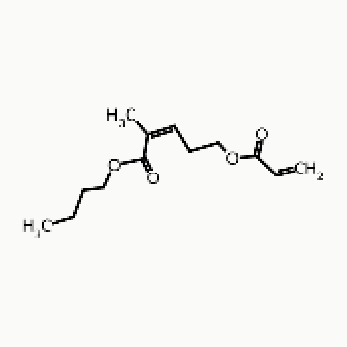 C=CC(=O)OCCC=C(C)C(=O)OCCCC